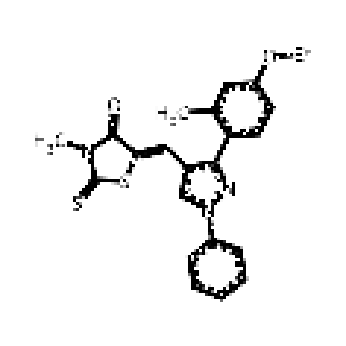 CCOc1ccc(-c2nn(-c3ccccc3)cc2/C=C2\SC(=S)N(C)C2=O)c(C)c1